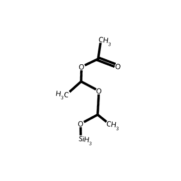 CC(=O)OC(C)OC(C)O[SiH3]